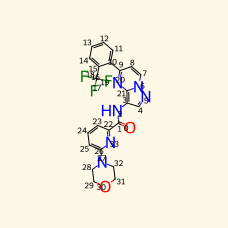 O=C(Nc1cnn2ccc(-c3ccccc3C(F)(F)F)nc12)c1cccc(N2CCOCC2)n1